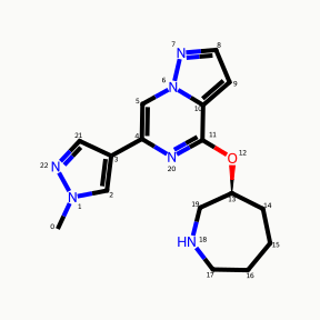 Cn1cc(-c2cn3nccc3c(O[C@H]3CCCCNC3)n2)cn1